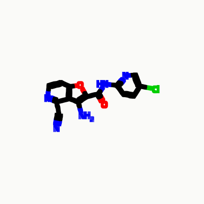 N#Cc1nccc2oc(C(=O)Nc3ccc(Cl)cn3)c(N)c12